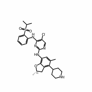 Cc1cc(Nc2ncc(Cl)c(Nc3ccccc3S(=O)(=O)C(C)C)n2)c2c(c1C1CCNCC1)C[C@H](C)O2